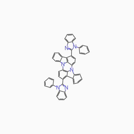 c1ccc(-n2c(-c3ccc4c5c3c3ccccc3n5c3ccc(-c5nc6ccccc6n5-c5ccccc5)c5c6ccccc6n4c53)nc3ccccc32)cc1